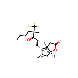 CCCCC(C)(C(=O)C=C[C@@H]1[C@H]2CC(=O)O[C@@H]2C[C@H]1C)C(F)(F)F